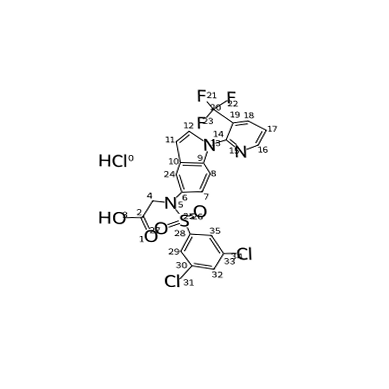 Cl.O=C(O)CN(c1ccc2c(ccn2-c2ncccc2C(F)(F)F)c1)S(=O)(=O)c1cc(Cl)cc(Cl)c1